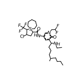 CCCCC(C)CCCC(NCC)c1cc(NC(=O)C2CC(Cl)C(C(F)(F)F)S23CCCCCC3)cn(CC(F)F)c1=O